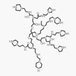 CCN(CCCOCC(COCCCN(CCNCCN1CCNCC1)CC(=O)NCCN1CCNCC1)(COCC(O)CN(CCNCCN1CCNCC1)CC(O)NCCN1CCNC1)COCC(O)CN(CC(=O)NCCN1CCNC1)CC(O)NCCN1CCNCC1)CCNCCN1CCNCC1